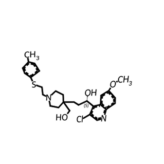 COc1ccc2ncc(Cl)c([C@@H](O)CCC3(CO)CCN(CCSc4ccc(C)cc4)CC3)c2c1